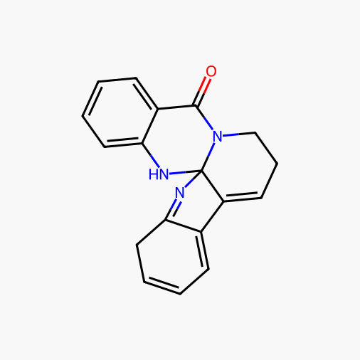 O=C1c2ccccc2NC23N=C4CC=CC=C4C2=CCCN13